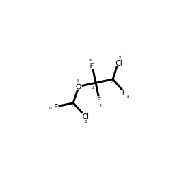 FC(Cl)OC(F)(F)C(F)Cl